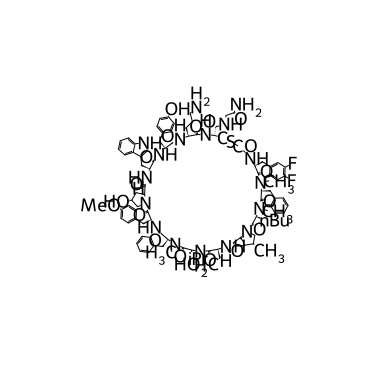 CCCC[C@H]1C(=O)N2C[C@@H](C)C[C@@H]2C(=O)N[C@@H](CC(=O)O)C(=O)N[C@@H](C(C)C)C(=O)N(C)[C@@H](Cc2ccccc2)C(=O)N[C@@H](Cc2ccc(OC)cc2)C(=O)N2C[C@@H](O)C[C@@H]2C(=O)N[C@@H](Cc2c[nH]c3ccccc23)C(=O)N[C@@H](Cc2ccc(O)cc2)C(=O)N[C@@H](CCCN)C(=O)N[C@H](C(=O)NCC(N)=O)CSCC(=O)N[C@@H](Cc2ccc(F)c(F)c2)C(=O)N(C)[C@@H](Cc2ccccc2)C(=O)N1C